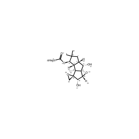 CCCCCCCC(=O)O[C@@H]1[C@@H]2[C@H](CC1(C)C)[C@H](O)[C@@]13O[C@@H]1[C@H](O)[C@@]1(CO1)[C@@]23C